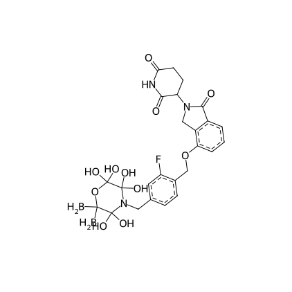 BC1(B)OC(O)(O)C(O)(O)N(Cc2ccc(COc3cccc4c3CN(C3CCC(=O)NC3=O)C4=O)c(F)c2)C1(O)O